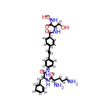 C[C@H](O)[C@@H](NC(=O)c1ccc(C#Cc2ccc(NC(=O)[C@H](Cc3ccccc3)NC(=O)[C@@H](N)CCCN)cc2)cc1)C(=O)NO